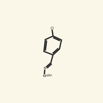 [CH2]C(=O)NN=Cc1ccc(Cl)cc1